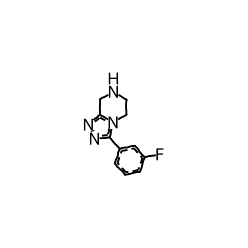 Fc1cccc(-c2nnc3n2CCNC3)c1